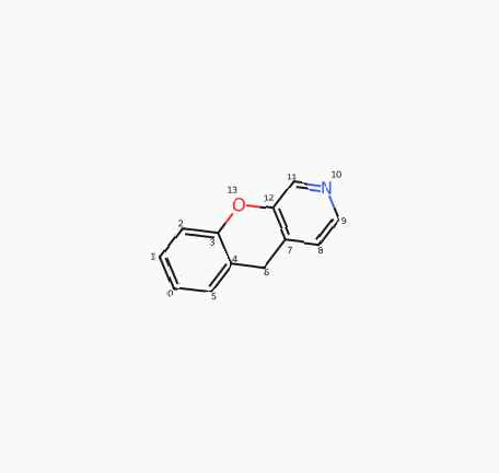 c1ccc2c(c1)Cc1ccncc1O2